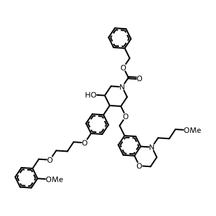 COCCCN1CCOc2ccc(COC3CN(C(=O)OCc4ccccc4)CC(O)C3c3ccc(OCCCOCc4ccccc4OC)cc3)cc21